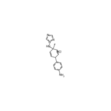 Cl.Nc1ccc(C2C=CC(F)(Nn3cncn3)C=C2)cc1